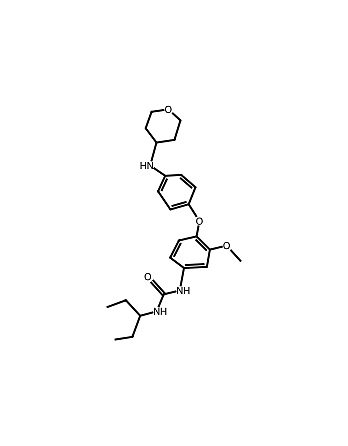 CCC(CC)NC(=O)Nc1ccc(Oc2ccc(NC3CCOCC3)cc2)c(OC)c1